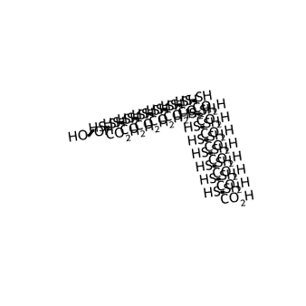 O=C(O)C(S)S.O=C(O)C(S)S.O=C(O)C(S)S.O=C(O)C(S)S.O=C(O)C(S)S.O=C(O)C(S)S.O=C(O)C(S)S.O=C(O)C(S)S.O=C(O)C(S)S.O=C(O)C(S)S.O=C(O)C(S)S.O=C(O)C(S)S.O=C(O)C(S)S.O=C(O)C(S)S.OCCO